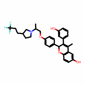 CC1=C(c2cccc(O)c2)C(c2ccc(OCC(C)N3CCC(CCC(F)(F)F)C3)cc2)Oc2ccc(O)cc21